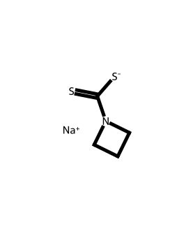 S=C([S-])N1CCC1.[Na+]